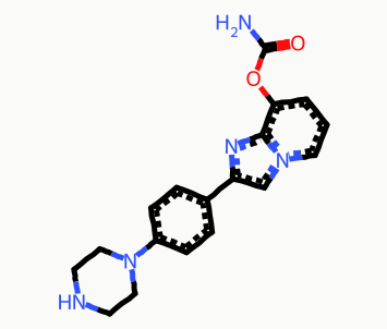 NC(=O)Oc1cccn2cc(-c3ccc(N4CCNCC4)cc3)nc12